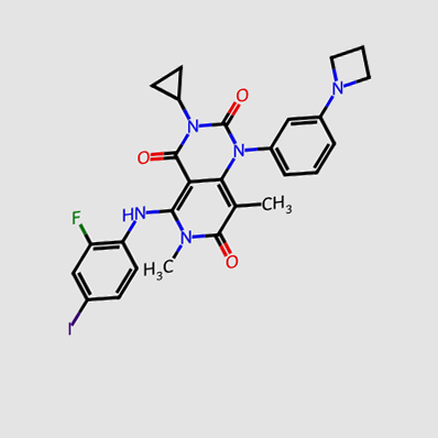 Cc1c(=O)n(C)c(Nc2ccc(I)cc2F)c2c(=O)n(C3CC3)c(=O)n(-c3cccc(N4CCC4)c3)c12